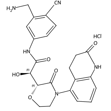 Cl.N#Cc1ccc(NC(=O)[C@H](O)[C@H]2OCCN(c3cccc4c3CCC(=O)N4)C2=O)cc1CN